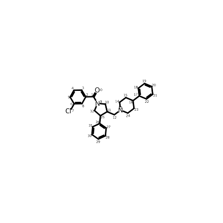 O=C(c1cccc(Cl)c1)N1CC(CN2CCC(c3ccccc3)CC2)C(c2ccccc2)C1